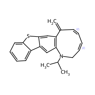 C=C1/C=C\C=C/CN(C(C)C)c2cc3c(cc21)sc1ccccc13